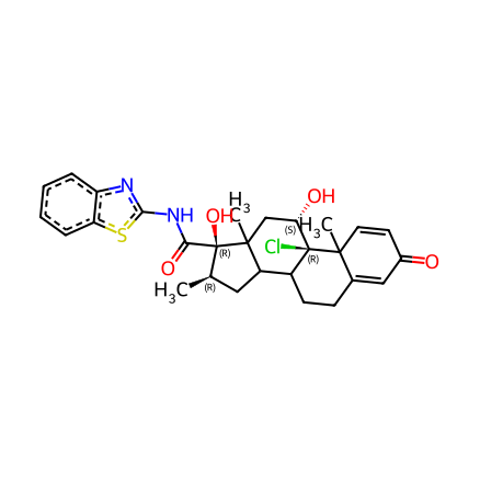 C[C@@H]1CC2C3CCC4=CC(=O)C=CC4(C)[C@@]3(Cl)[C@@H](O)CC2(C)[C@@]1(O)C(=O)Nc1nc2ccccc2s1